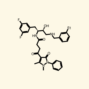 CCc1cccc(CNC[C@H](O)[C@H](Cc2cc(F)cc(F)c2)NC(=O)CCC(=O)c2c(C)n(C)n(-c3ccccc3)c2=O)c1